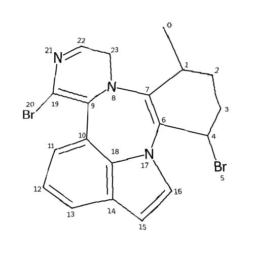 CC1CCC(Br)c2c1n1c(c3cccc4ccn2c43)=C(Br)N=CC1